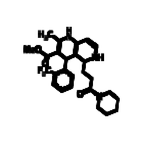 COC(=O)C1=C(C)NC2=C(C(CCC(=O)N3CCCCC3)NC=C2)C1c1ccccc1C(F)(F)F